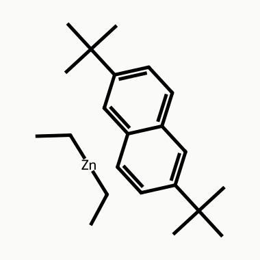 CC(C)(C)c1ccc2cc(C(C)(C)C)ccc2c1.C[CH2][Zn][CH2]C